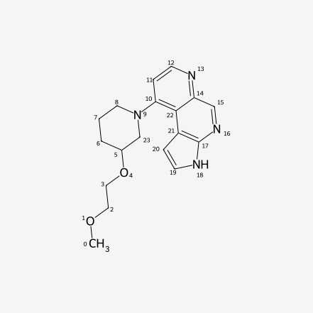 COCCOC1CCCN(c2ccnc3cnc4[nH]ccc4c23)C1